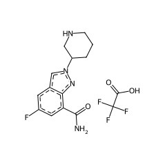 NC(=O)c1cc(F)cc2cn(C3CCCNC3)nc12.O=C(O)C(F)(F)F